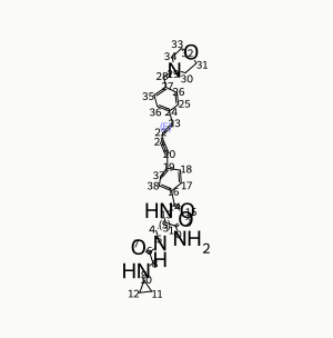 NC(=O)[C@H](CNC(=O)CNC1CC1)NC(=O)c1ccc(C#C/C=C/c2ccc(CN3CCOCC3)cc2)cc1